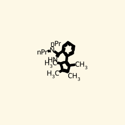 CCCN(CCC)C(=N)c1ccccc1C1=C(C)C(C)=C(C)C1C